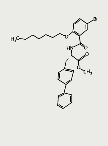 CCCCCCCOc1ccc(Br)cc1C(=O)N[C@@H](Cc1ccc(-c2ccccc2)cc1)C(=O)OC